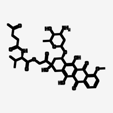 COc1cccc2c1C(=O)c1c(O)c3c(c(O)c1C2=O)CC(O)(C(=O)COC(=O)[C@H](NC(=O)CCC(C)=O)C(C)C)C[C@H]3OC1CC(N)C(O)C(C)O1